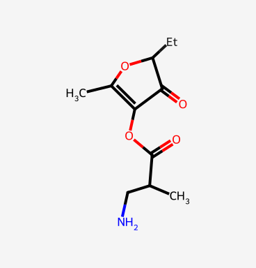 CCC1OC(C)=C(OC(=O)C(C)CN)C1=O